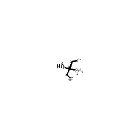 OC(P)(CF)CF